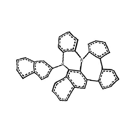 c1ccc2c(c1)-c1ccccc1N1c3ccccc3N(c3ccc4ccccc4c3)c3c1c-2cc1ccccc31